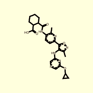 Cc1nc(-c2onc(C)c2Nc2cncc(OC3CC3)n2)ccc1NC(=O)C1CCCCC1C(=O)O